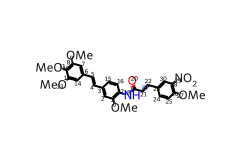 COc1cc(C=Cc2cc(OC)c(OC)c(OC)c2)ccc1NC(=O)/C=C/c1ccc(OC)c([N+](=O)[O-])c1